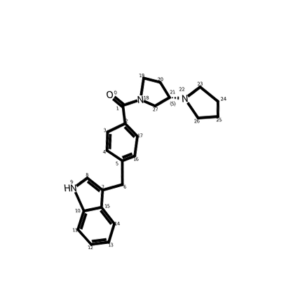 O=C(c1ccc(Cc2c[nH]c3ccccc23)cc1)N1CC[C@H](N2CCCC2)C1